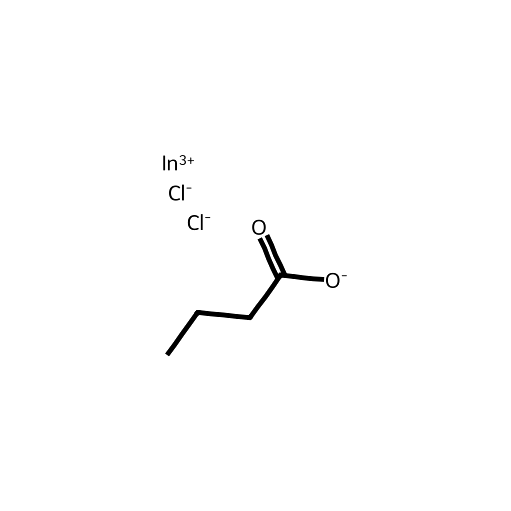 CCCC(=O)[O-].[Cl-].[Cl-].[In+3]